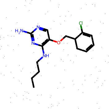 CCCCNc1nc(N)ncc1OCC1CC=CC=C1Cl